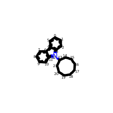 c1ccc2c(c1)c1ccccc1n2C1CCCCCCCC1